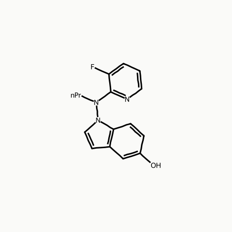 CCCN(c1ncccc1F)n1ccc2cc(O)ccc21